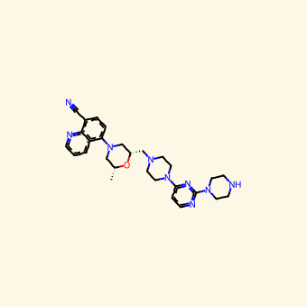 C[C@@H]1CN(c2ccc(C#N)c3ncccc23)C[C@H](CN2CCN(c3ccnc(N4CCNCC4)n3)CC2)O1